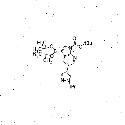 CC(C)n1cc(-c2cnc3c(c2)c(B2OC(C)(C)C(C)(C)O2)cn3C(=O)OC(C)(C)C)cn1